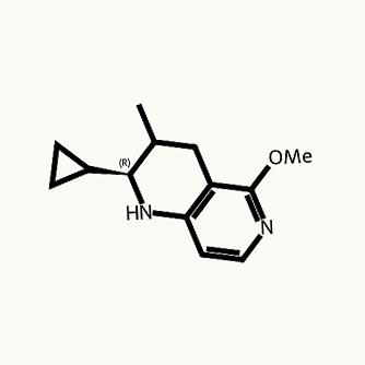 COc1nccc2c1CC(C)[C@H](C1CC1)N2